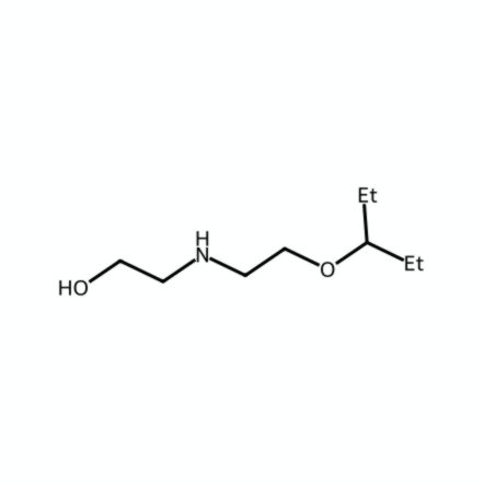 CCC(CC)OCCNCCO